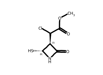 COC(=O)C(Cl)[C@H]1C(=O)N[C@@H]1S